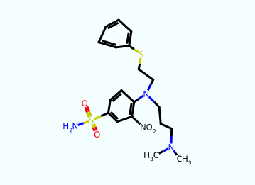 CN(C)CCCN(CCSc1ccccc1)c1ccc(S(N)(=O)=O)cc1[N+](=O)[O-]